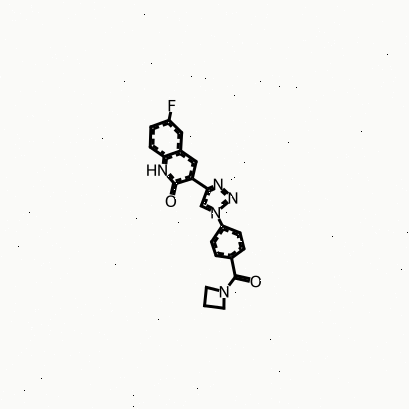 O=C(c1ccc(-n2cc(-c3cc4cc(F)ccc4[nH]c3=O)nn2)cc1)N1CCC1